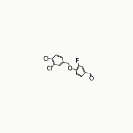 O=Cc1ccc(OCc2ccc(Cl)c(Cl)c2)c(F)c1